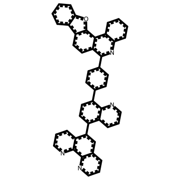 c1cnc2c(c1)cc(-c1ccc(-c3ccc(-c4nc5ccccc5c5c4ccc4c6ccccc6oc45)cc3)c3ncccc13)c1cccnc12